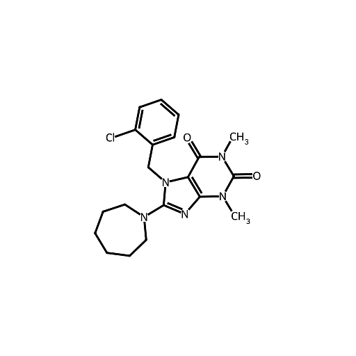 Cn1c(=O)c2c(nc(N3CCCCCC3)n2Cc2ccccc2Cl)n(C)c1=O